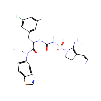 CN(C(=O)C(Cc1cc(F)cc(F)c1)NC(=O)NS(=O)(=O)N1CCC(/C=C\N)=C1N)c1ccc2scnc2c1